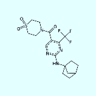 O=C(c1cnc(NC23CCC(CC2)C3)nc1C(F)(F)F)N1CCS(=O)(=O)CC1